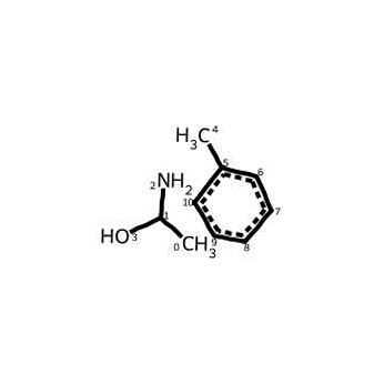 CC(N)O.Cc1ccccc1